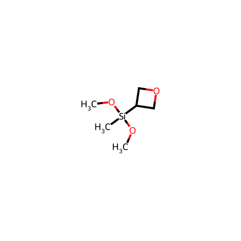 CO[Si](C)(OC)C1COC1